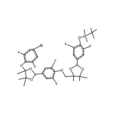 CC1(C)OB(c2cc(F)c(O[Si](C)(C)C(C)(C)C)c(F)c2)OC1(C)COc1c(F)cc(B2OC(C)(C)C(C)(Oc3c(F)cc(Br)cc3F)O2)cc1F